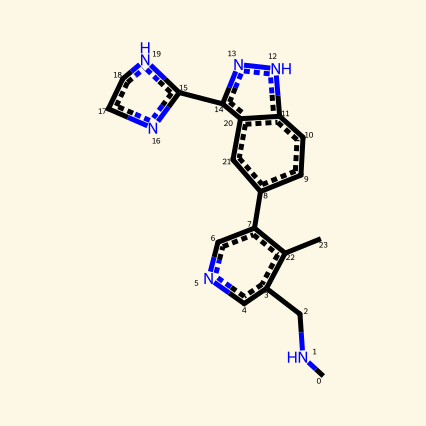 CNCc1cncc(-c2ccc3[nH]nc(-c4ncc[nH]4)c3c2)c1C